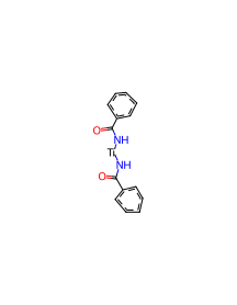 O=C([NH][Ti][NH]C(=O)c1ccccc1)c1ccccc1